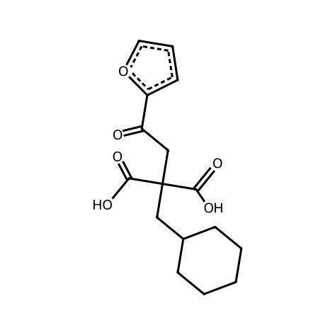 O=C(CC(CC1CCCCC1)(C(=O)O)C(=O)O)c1ccco1